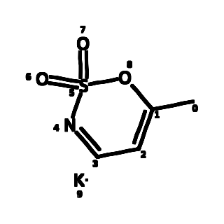 CC1=CC=NS(=O)(=O)O1.[K]